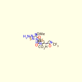 CO/N=C(\C(=O)N[C@@H]1C(=O)N2C(C(=O)O)=C(/C=C3\CCN(CC(F)(F)F)C3=O)CS[C@H]12)c1nsc(N)n1